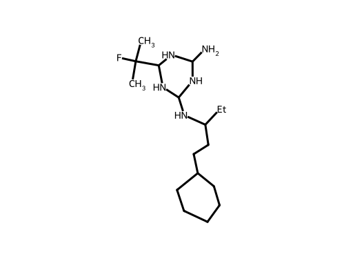 CCC(CCC1CCCCC1)NC1NC(N)NC(C(C)(C)F)N1